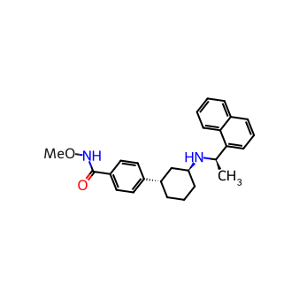 CONC(=O)c1ccc([C@H]2CCC[C@H](N[C@H](C)c3cccc4ccccc34)C2)cc1